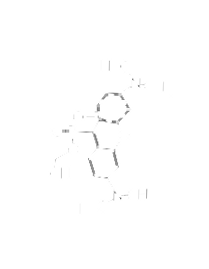 CCOP(=O)(O)C1=C2C=CC(N(C)C)C=C2Oc2cc(N(C)C)ccc21